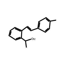 Cc1ccc(C=Cc2ccccc2C(C)O)cc1